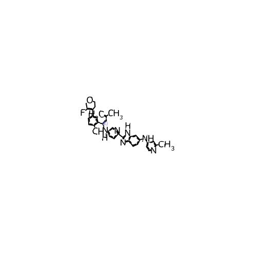 C=C(C)/C=C(/Nc1ccc(-c2nc3ccc(Nc4ccnc(C)c4)cc3[nH]2)nc1)c1cc(C2=C(F)COCC2)ccc1C